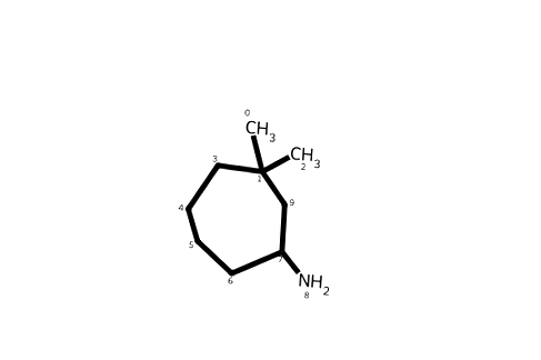 CC1(C)CCCCC(N)C1